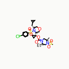 CC[C@H]1CN(S(C)(=O)=O)[C@H](C)CN1C(=O)OC1([C@H]2COC[C@@H](CC3CC3)N2S(=O)(=O)c2ccc(Cl)cc2)CC1